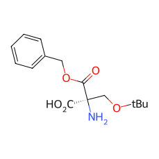 CC(C)(C)OC[C@](N)(C(=O)O)C(=O)OCc1ccccc1